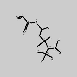 C=CC(=O)OC(C)CC(C)(C)C([C](C)C)C(C)(C)C